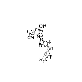 Cc1ncc(Nc2cc3ncn(-c4ccc(CCO)c(-c5c(C#N)n[nH]c5C)n4)c3cc2F)cc1F